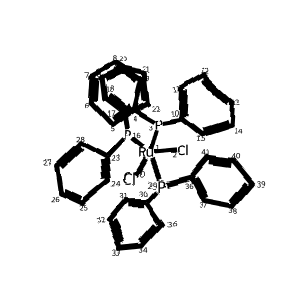 [Cl][Ru]([Cl])([P](c1ccccc1)c1ccccc1)([P](c1ccccc1)c1ccccc1)[P](c1ccccc1)c1ccccc1